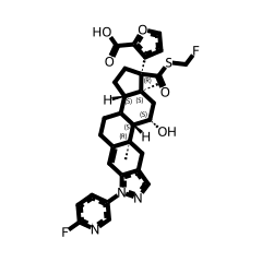 C[C@]12Cc3cnn(-c4ccc(F)nc4)c3C=C1CCC1[C@@H]2[C@@H](O)C[C@@]2(C)[C@H]1CC[C@]2(C(=O)SCF)c1ccoc1C(=O)O